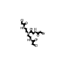 O=C(CCl)NCCN(CCNC(=O)CCl)C(=O)CNC(=O)CBr